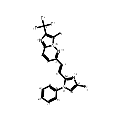 Cc1c(C(F)(F)F)nc2ccc(C=Cc3nc(Br)cn3-c3ccccc3)nn12